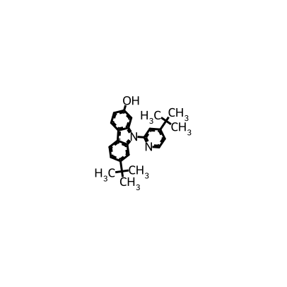 CC(C)(C)c1ccnc(-n2c3cc(O)ccc3c3ccc(C(C)(C)C)cc32)c1